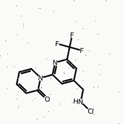 O=c1ccccn1-c1cc(CNCl)cc(C(F)(F)F)n1